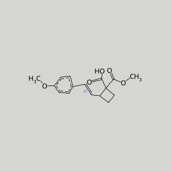 COC(=O)C1(C(=O)O)CCC1/C=C/c1ccc(OC)cc1